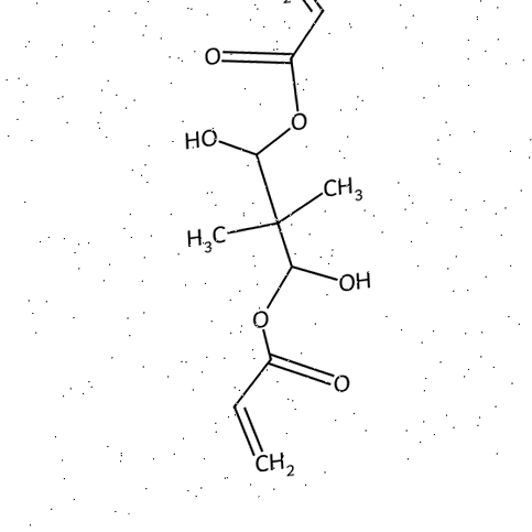 C=CC(=O)OC(O)C(C)(C)C(O)OC(=O)C=C